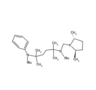 C[C@@H]1CC[C@@H](C)P1CN(C(C)(C)C)C(C)(C)CCC(C)(C)N(c1ccccc1)C(C)(C)C